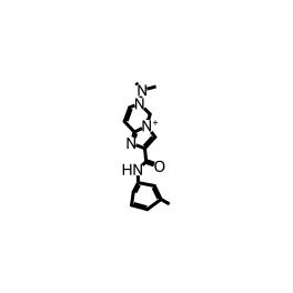 Cc1cccc(NC(=O)C2=C[N+]3CN(N(C)C)C=CC3=N2)c1